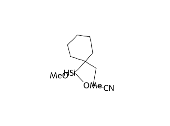 CO[SiH](OC)C1(CCC#N)CCCCC1